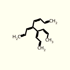 C=CC=C(/C=C\C=C)C(/C=C\C)=C/C=C